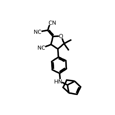 CC1(C)OC(=C(C#N)C#N)C(C#N)C1c1ccc(NC2C3C=CC2CC3)cc1